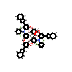 Fc1cccc(F)c1N1c2cc3c(cc2B2c4ccccc4Oc4cc(C5CC6CCCCCC6C5)cc1c42)B1c2cc4c(cc2Oc2cc(C5CC6CCCCCC6C5)cc(c21)O3)N(c1c(F)cccc1F)c1cc(C2CC3CCCCCC3C2)cc2c1B4c1ccccc1O2